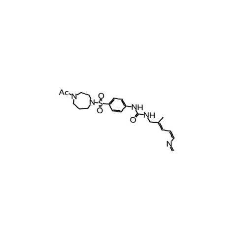 C=N/C=C\C=C(/C)CNC(=O)Nc1ccc(S(=O)(=O)N2CCCN(C(C)=O)CC2)cc1